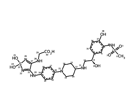 CS(=O)(=O)Nc1cc([C@@H](O)CNC2CCN(c3ccc(NC4=NS(O)(O)N=C4NCC(=O)O)cc3)CC2)ccc1O